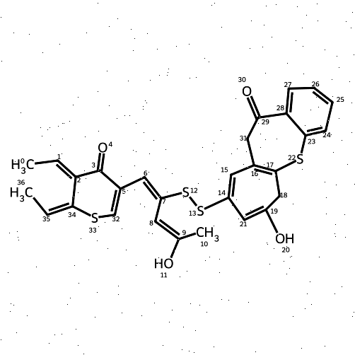 C/C=c1/c(=O)c(/C=C(\C=C(/C)O)SSC2=CC3=C(CC(O)=C2)Sc2ccccc2C(=O)C3)cs/c1=C/C